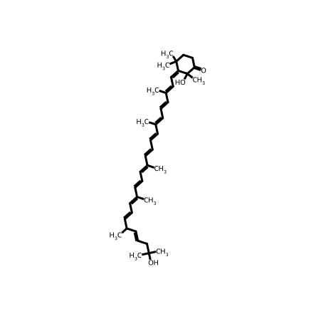 CC(/C=C/C=C(C)/C=C/C=C/C(C)=C/C=C/C(C)=C/C=C/C(C)/C=C/CC(C)(C)O)=C\C=C1\C(C)(C)CCC(=O)C1(C)O